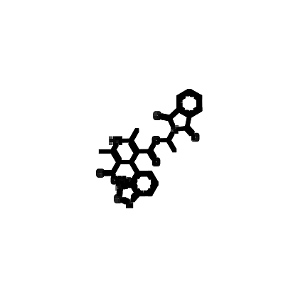 COC(=O)C1=C(C)NC(C)=C(C(=O)OC(C)N2C(=O)c3ccccc3C2=O)C1c1cccc2nonc12